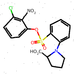 O=C(O)C1CCCN1c1ccccc1S(=O)(=O)Oc1cccc(Cl)c1[N+](=O)[O-]